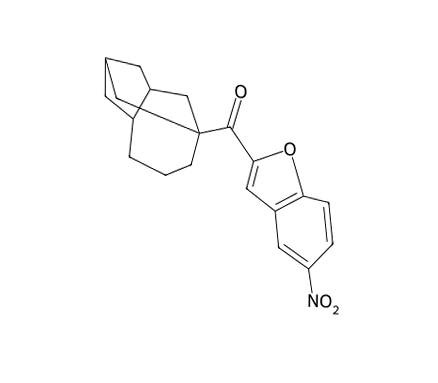 O=C(c1cc2cc([N+](=O)[O-])ccc2o1)C12CCCC3CC(CC3C1)C2